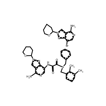 Cc1cccc(CN(Cc2ccccc2)C(=O)C(=O)Nc2cnc(N)c3cn(C4CCCCO4)nc23)c1C.Nc1ncc(Br)c2nn(C3CCCCO3)cc12